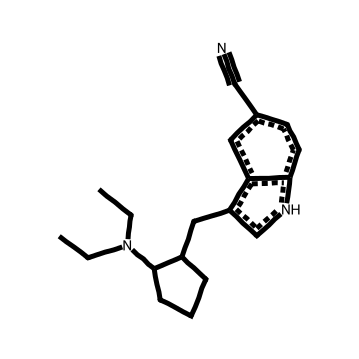 CCN(CC)C1CCCC1Cc1c[nH]c2ccc(C#N)cc12